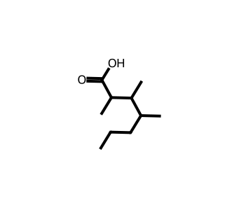 CCCC(C)C(C)C(C)C(=O)O